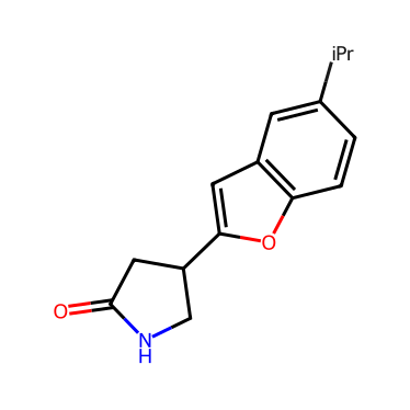 CC(C)c1ccc2oc(C3CNC(=O)C3)cc2c1